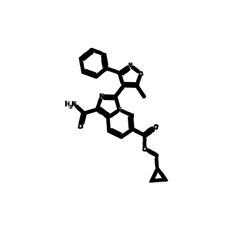 Cc1onc(-c2ccccc2)c1-c1nc(C(N)=O)c2ccc(C(=O)OCC3CC3)cn12